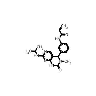 C=CC(=O)Nc1cccc(C2c3cnc(NC(C)C)nc3NC(=O)N2C)c1